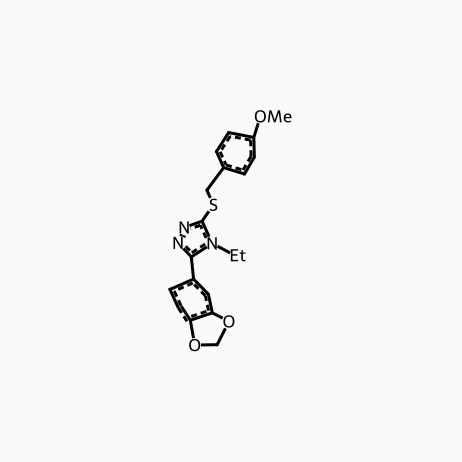 CCn1c(SCc2ccc(OC)cc2)nnc1-c1ccc2c(c1)OCO2